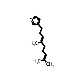 CC(C)=CCC/C(C)=C/CCc1ccoc1